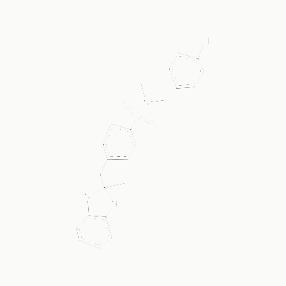 CN(Cc1ccc(Cl)cc1)S(=O)(=O)c1ccc(CC2(C)Nc3ccccc3N2)cc1